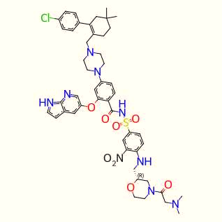 CN(C)CC(=O)N1CCO[C@H](CNc2ccc(S(=O)(=O)NC(=O)c3ccc(N4CCN(CC5=C(c6ccc(Cl)cc6)CC(C)(C)CC5)CC4)cc3Oc3cnc4[nH]ccc4c3)cc2[N+](=O)[O-])C1